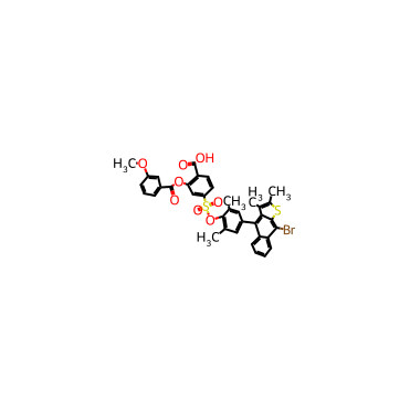 COc1cccc(C(=O)Oc2cc(S(=O)(=O)Oc3c(C)cc(-c4c5ccccc5c(Br)c5sc(C)c(C)c45)cc3C)ccc2C(=O)O)c1